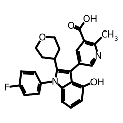 Cc1ncc(-c2c(C3CCOCC3)n(-c3ccc(F)cc3)c3cccc(O)c23)cc1C(=O)O